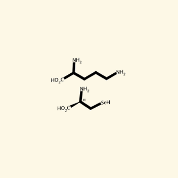 NCCCC(N)C(=O)O.N[C@@H](C[SeH])C(=O)O